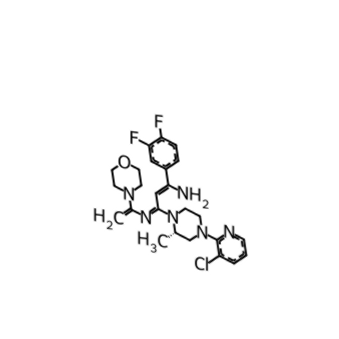 C=C(/N=C(\C=C(/N)c1ccc(F)c(F)c1)N1CCN(c2ncccc2Cl)C[C@@H]1C)N1CCOCC1